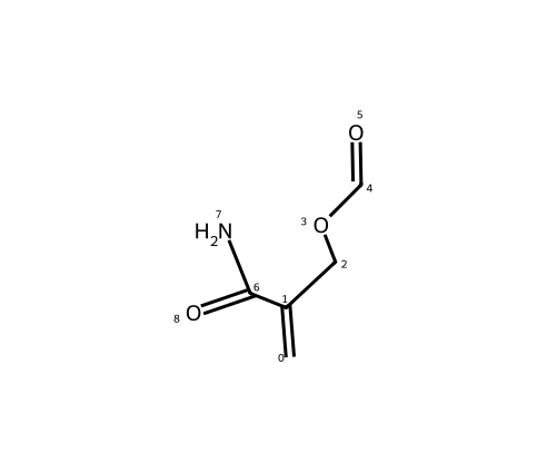 C=C(COC=O)C(N)=O